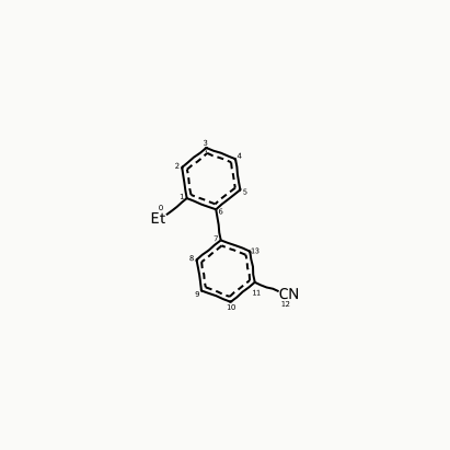 CCc1c[c]ccc1-c1cccc(C#N)c1